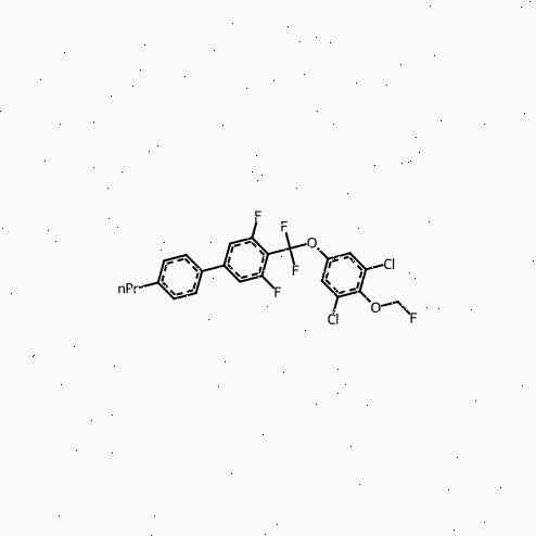 CCCc1ccc(-c2cc(F)c(C(F)(F)Oc3cc(Cl)c(OCF)c(Cl)c3)c(F)c2)cc1